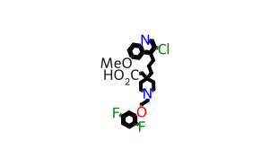 COc1ccc2ncc(Cl)c(CCCC3(CC(=O)O)CCN(CCOc4cc(F)ccc4F)CC3)c2c1